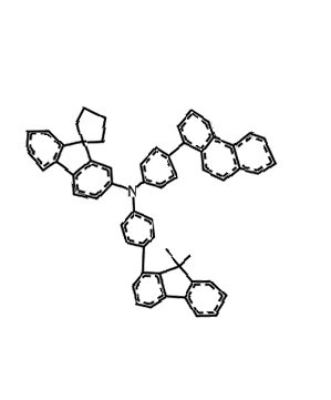 CC1(C)c2ccccc2-c2cccc(-c3ccc(N(c4ccc(-c5cccc6c5ccc5ccccc56)cc4)c4ccc5c(c4)C4(CCCC4)c4ccccc4-5)cc3)c21